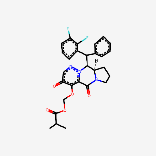 CC(C)C(=O)OCOc1c2n(ncc1=O)[C@@H](C(c1ccccc1)c1cccc(F)c1F)[C@H]1CCCN1C2=O